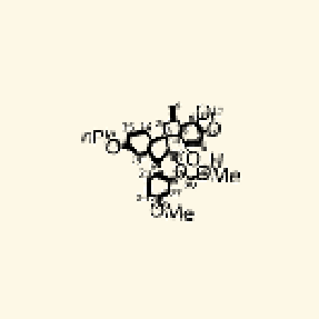 C=CC[C@]1(c2ccc3c(c2)OCO3)c2ccc(OCCC)cc2[C@@H](c2ccc(OC)cc2OCOC)[C@H]1C(=O)O